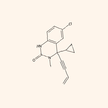 C=CC#CC1(C2CC2)c2cc(Cl)ccc2NC(=O)N1C